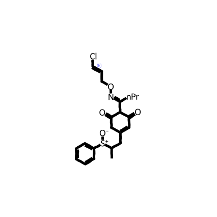 CCCC(=NOC/C=C/Cl)C1C(=O)C=C(CC(C)[S+]([O-])c2ccccc2)CC1=O